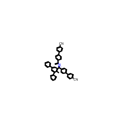 C=C(/N=C(/c1ccc(-c2ccc(C#N)cc2)cc1)c1cc(-c2ccccc2)cc(-c2ccccc2)c1C)c1ccc(-c2ccc(C#N)cc2)cc1